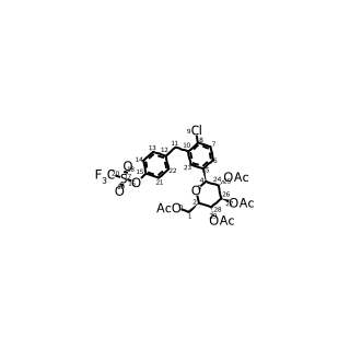 CC(=O)OC[C@H]1O[C@@H](c2ccc(Cl)c(Cc3ccc(OS(=O)(=O)C(F)(F)F)cc3)c2)[C@H](OC(C)=O)[C@@H](OC(C)=O)[C@@H]1OC(C)=O